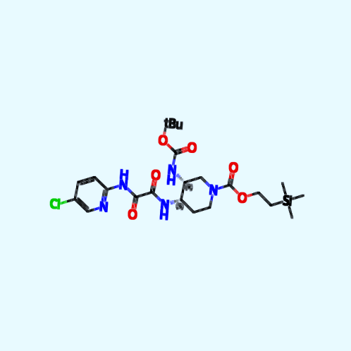 CC(C)(C)OC(=O)N[C@@H]1CN(C(=O)OCC[Si](C)(C)C)CC[C@@H]1NC(=O)C(=O)Nc1ccc(Cl)cn1